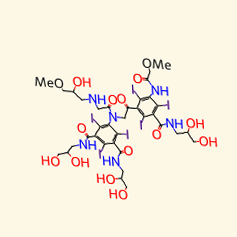 COCC(=O)Nc1c(I)c(C(=O)CN(C(=O)CNCC(O)COC)c2c(I)c(C(=O)NCC(O)CO)c(I)c(C(=O)NCC(O)CO)c2I)c(I)c(C(=O)NCC(O)CO)c1I